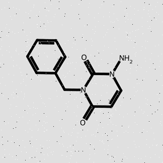 Nn1ccc(=O)n(Cc2ccccc2)c1=O